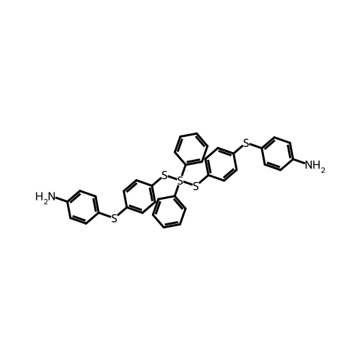 Nc1ccc(Sc2ccc(SS(Sc3ccc(Sc4ccc(N)cc4)cc3)(c3ccccc3)c3ccccc3)cc2)cc1